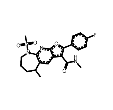 CNC(=O)c1c(-c2ccc(F)cc2)oc2nc3c(cc12)C(C)CCCN3S(C)(=O)=O